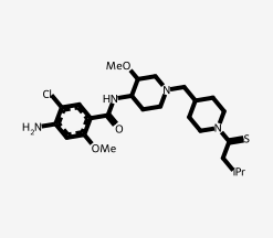 COc1cc(N)c(Cl)cc1C(=O)NC1CCN(CC2CCN(C(=S)CC(C)C)CC2)CC1OC